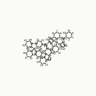 c1ccc(N2c3ccccc3C3(c4ccccc4-c4c(N(c5ccc6c(c5)C(c5ccccc5)(c5ccccc5)c5ccccc5-6)c5ccc6oc7ccccc7c6c5)cccc43)c3ccccc32)cc1